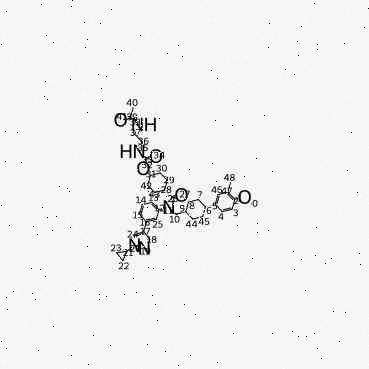 COc1ccc([C@H]2CC[C@H](CN(c3cccc(-c4cnn(C5CC5)c4)c3)C(=O)[C@H]3CC[C@H](OC(=O)NCCNC(C)=O)CC3)CC2)cc1C